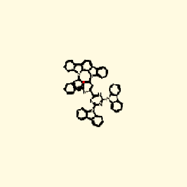 C1=Cc2c(n(-c3nc(-c4cc(-n5c6ccccc6c6ccc7c8ccccc8n(-c8ccccc8)c7c65)cc(-c5ccccc5)n4)nc(-n4c5ccccc5c5ccccc54)n3)c3ccccc23)CC1